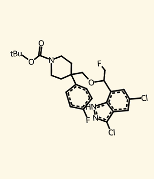 CC(C)(C)OC(=O)N1CCC(COC(CF)c2cc(Cl)cc3c(Cl)n[nH]c23)(c2ccc(F)cc2)CC1